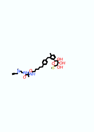 C#CCN(C)CCNC(=O)C(C)(C)NC(=O)CCCCCc1ccc(Cc2cc([C@@H]3O[C@H](SC)[C@@H](O)[C@H](O)[C@H]3O)ccc2C)cc1